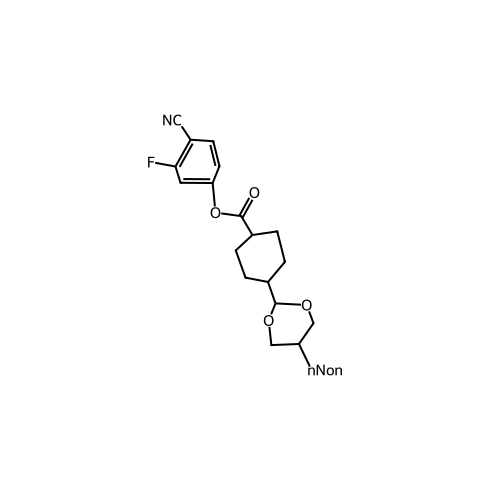 CCCCCCCCCC1COC(C2CCC(C(=O)Oc3ccc(C#N)c(F)c3)CC2)OC1